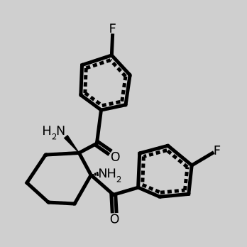 N[C@]1(C(=O)c2ccc(F)cc2)CCCC[C@]1(N)C(=O)c1ccc(F)cc1